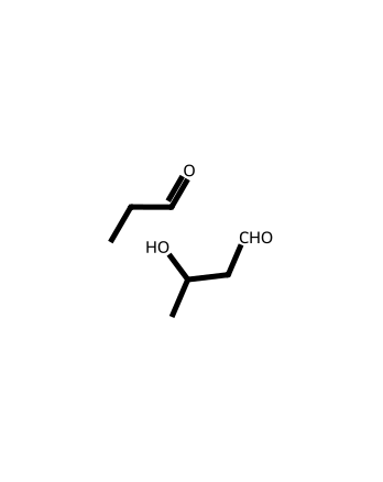 CC(O)CC=O.CCC=O